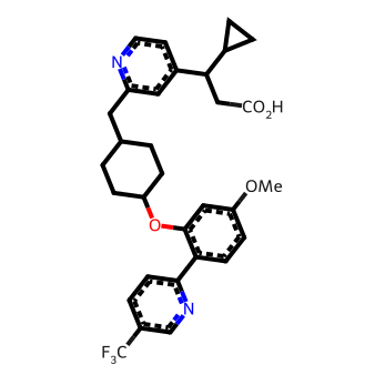 COc1ccc(-c2ccc(C(F)(F)F)cn2)c(OC2CCC(Cc3cc(C(CC(=O)O)C4CC4)ccn3)CC2)c1